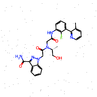 Cc1cccnc1-c1cccc(NC(=O)CN(C(=O)Cn2nc(C(N)=O)c3ccccc32)[C@H](C)CO)c1F